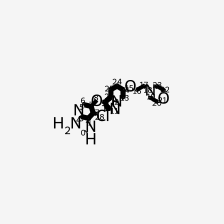 CNc1c(N)ncc(Oc2cnn3cc(OCCN4CCOCC4)ccc23)c1Cl